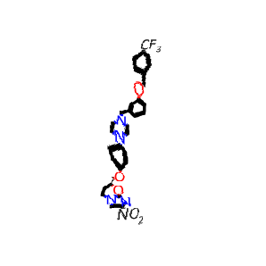 O=[N+]([O-])c1cn2c(n1)O[C@@H](COc1ccc(N3CCN(Cc4cccc(OCc5ccc(C(F)(F)F)cc5)c4)CC3)cc1)CC2